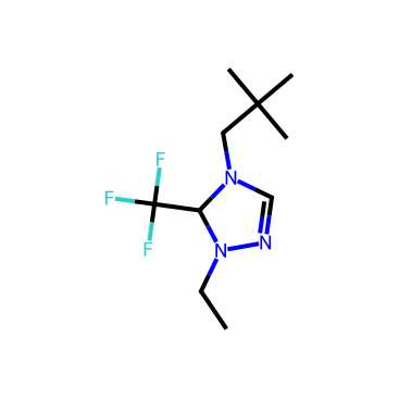 CCN1N=CN(CC(C)(C)C)C1C(F)(F)F